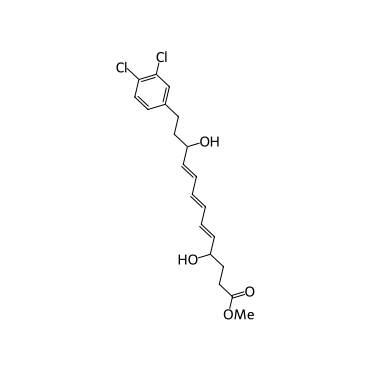 COC(=O)CCC(O)C=CC=CC=CC(O)CCc1ccc(Cl)c(Cl)c1